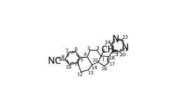 CC12CCC3c4ccc(C#N)cc4CCC3C1CC=C2c1cncnc1